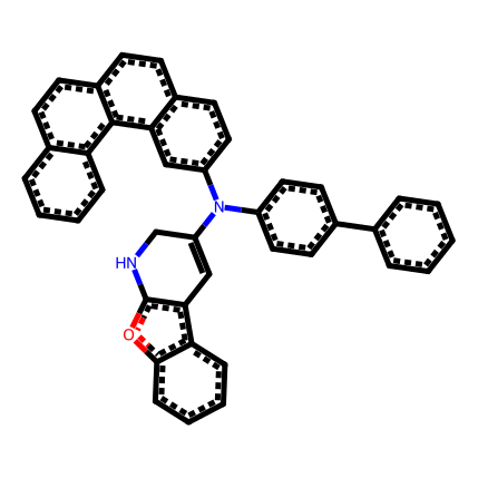 C1=C(N(c2ccc(-c3ccccc3)cc2)c2ccc3ccc4ccc5ccccc5c4c3c2)CNc2oc3ccccc3c21